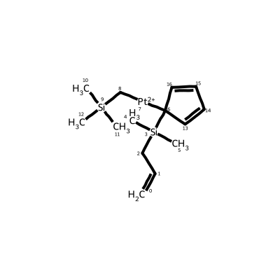 C=CC[Si](C)(C)[C]1([Pt+2][CH2][Si](C)(C)C)C=CC=C1